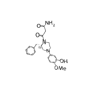 COc1ccc(N2CCN(C(=O)CC(N)=O)[C@@H](Cc3ccccc3)C2)cc1O